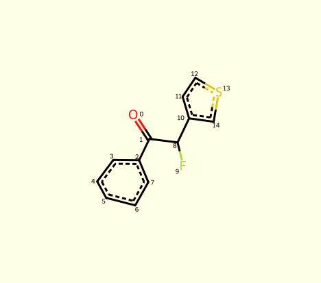 O=C(c1ccccc1)C(F)c1ccsc1